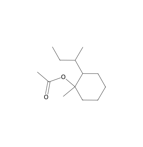 CCC(C)C1CCCCC1(C)OC(C)=O